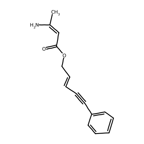 CC(N)=CC(=O)OCC=CC#Cc1ccccc1